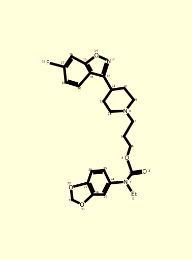 CCN(C(=O)OCCCN1CCC(c2noc3cc(F)ccc23)CC1)c1ccc2c(c1)OCO2